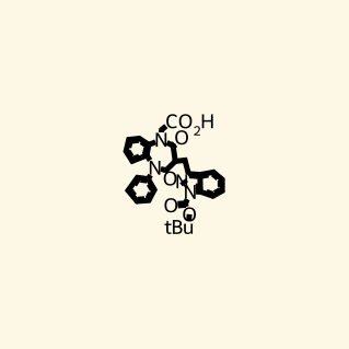 CC(C)(C)OC(=O)n1nc(CC2C(=O)N(CC(=O)O)c3ccccc3N(c3ccccc3)C2=O)c2ccccc21